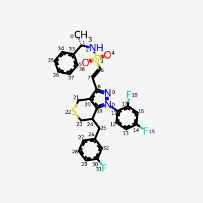 C[C@H](NS(=O)(=O)/C=C/c1nn(-c2ccc(F)cc2F)c2c1CSCC2Cc1cccc(F)c1)c1ccccc1